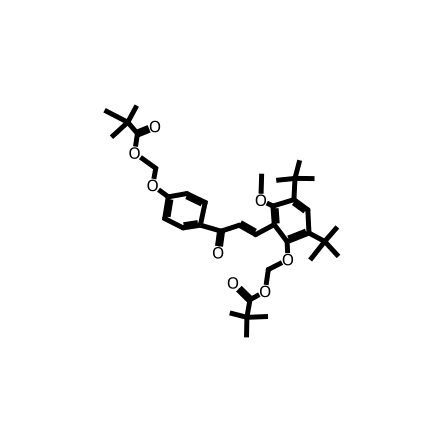 COc1c(C(C)(C)C)cc(C(C)(C)C)c(OCOC(=O)C(C)(C)C)c1C=CC(=O)c1ccc(OCOC(=O)C(C)(C)C)cc1